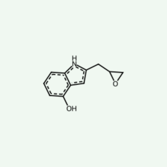 Oc1cccc2[nH]c(CC3CO3)cc12